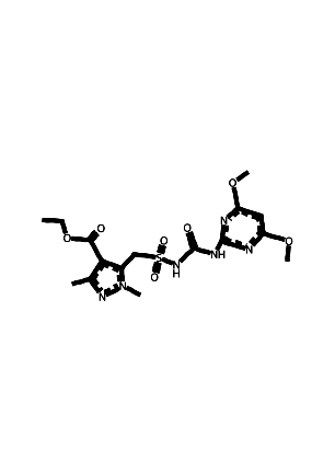 CCOC(=O)c1c(C)nn(C)c1CS(=O)(=O)NC(=O)Nc1nc(OC)cc(OC)n1